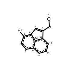 [O]CC1=Cc2c(F)ccc3cccc1c23